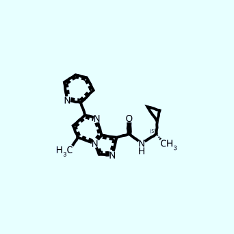 Cc1cc(-c2ccccn2)nc2c(C(=O)N[C@@H](C)C3CC3)ncn12